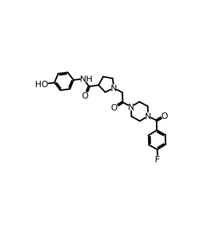 O=C(Nc1ccc(O)cc1)C1CCN(CC(=O)N2CCN(C(=O)c3ccc(F)cc3)CC2)C1